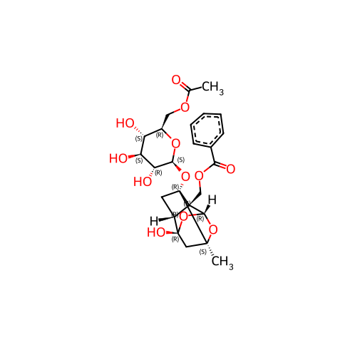 CC(=O)OC[C@H]1O[C@@H](O[C@]23C[C@@H]4[C@@]2(COC(=O)c2ccccc2)[C@H]2O[C@]4(O)C[C@]3(C)O2)[C@H](O)[C@@H](O)[C@@H]1O